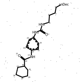 CCCCCCCCCCCCCCNC(=O)Nc1ccc(NC(=O)C2CCCCC2)cc1